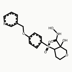 O=C(NO)C1(O)COCCC1S(=O)(=O)c1ccc(OCc2cccnc2)cc1